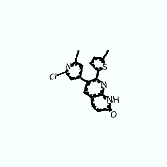 Cc1cc(-c2cc3ccc(=O)[nH]c3nc2-c2ccc(C)s2)cc(Cl)n1